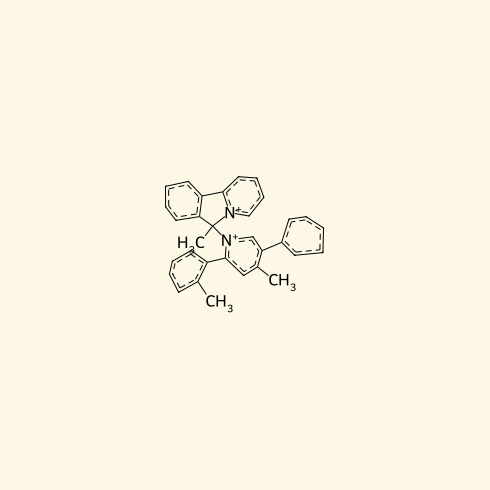 Cc1cc(-c2ccccc2C)[n+](C2(C)c3ccccc3-c3cccc[n+]32)cc1-c1ccccc1